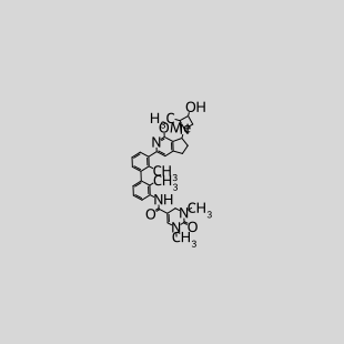 COc1nc(-c2cccc(-c3cccc(NC(=O)C4=CN(C)C(=O)N(C)C4)c3C)c2C)cc2c1C(N1CC(O)C1C)CC2